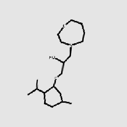 CC1CCC(C(C)C)C(OCC(O)CN2CCCCCCC2)C1